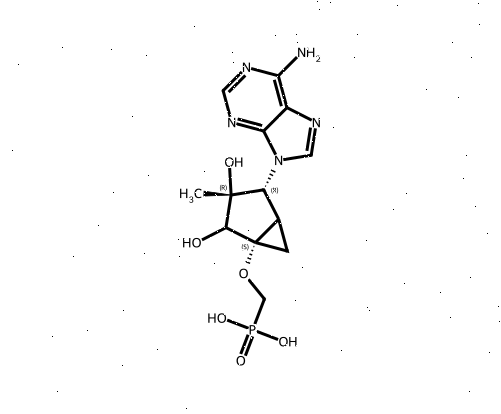 C[C@]1(O)C(O)[C@]2(OCP(=O)(O)O)CC2[C@H]1n1cnc2c(N)ncnc21